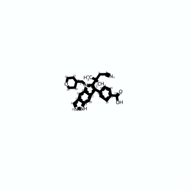 CC(C)(CC#N)c1c(-c2ccc(C(=O)O)cc2)c2cc3[nH]ncc3cc2n1CC1CCOCC1